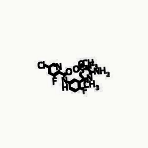 C[C@]1(F)C(N)=N[C@](C)(c2cc(NC(=O)c3ncc(Cl)cc3F)ccc2F)CS1(=O)=O